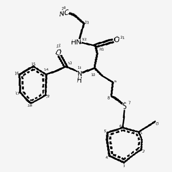 Cc1ccccc1SCCC(NC(=O)c1ccccc1)C(=O)NCC#N